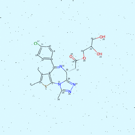 Cc1sc2c(c1C)C(c1ccc(Cl)cc1)=N[C@H](CC(=O)OCC(O)CO)c1nnc(C)n1-2